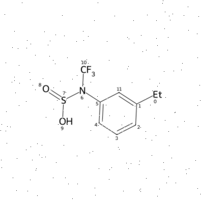 CCc1cccc(N(S(=O)O)C(F)(F)F)c1